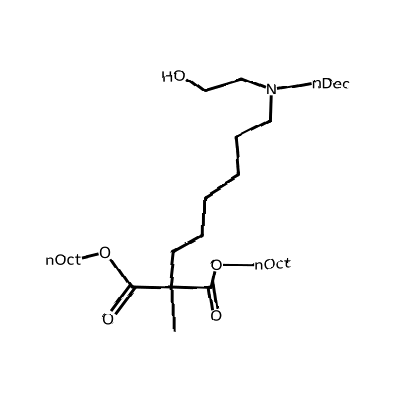 CCCCCCCCCCN(CCO)CCCCCCC(C)(C(=O)OCCCCCCCC)C(=O)OCCCCCCCC